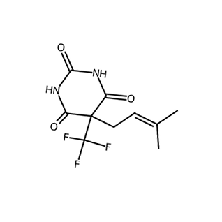 CC(C)=CCC1(C(F)(F)F)C(=O)NC(=O)NC1=O